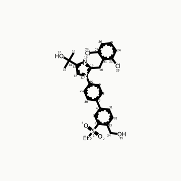 CCS(=O)(=O)c1cc(-c2ccc(-n3cc(C(C)(C)O)nc3Cc3c(Cl)cccc3Cl)cc2)ccc1CO